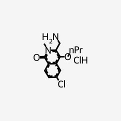 CCCOc1c(CN)n(C)c(=O)c2ccc(Cl)cc12.Cl